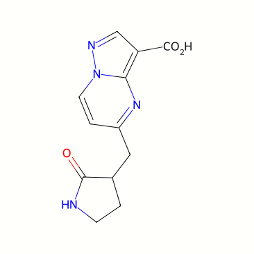 O=C(O)c1cnn2ccc(CC3CCNC3=O)nc12